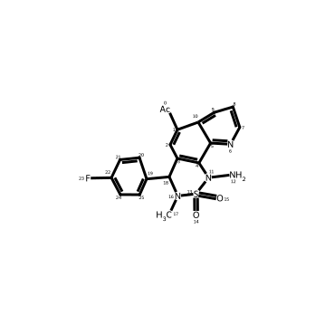 CC(=O)c1cc2c(c3ncccc13)N(N)S(=O)(=O)N(C)C2c1ccc(F)cc1